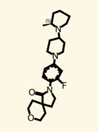 C[C@H]1CCCCN1C1CCN(c2ccc(N3CCC4(CCOCC4)C3=O)c(F)c2)CC1